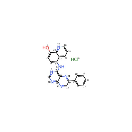 Cl.Oc1ccc(Nc2ncnc3ncc(-c4ccccc4)nc23)c2cccnc12